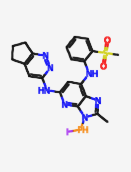 Cc1nc2c(Nc3ccccc3S(C)(=O)=O)cc(Nc3cc4c(nn3)CCC4)nc2n1PI